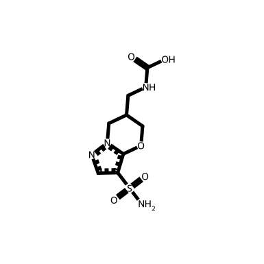 NS(=O)(=O)c1cnn2c1OCC(CNC(=O)O)C2